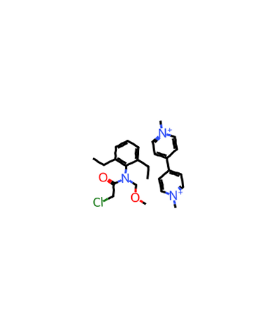 CCc1cccc(CC)c1N(COC)C(=O)CCl.C[n+]1ccc(-c2cc[n+](C)cc2)cc1